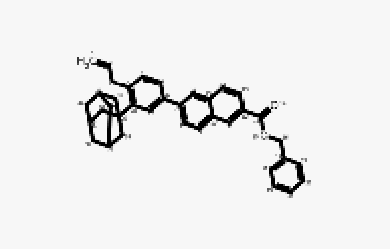 C=CCc1ccc(-c2ccc3cc(C(=O)OCc4ccccc4)ccc3c2)cc1C12CC3CC(CC(C3)C1)C2